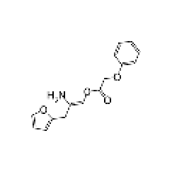 N/C(=C\OC(=O)COc1ccccc1)Cc1ccco1